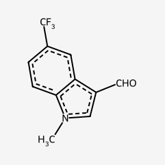 Cn1cc(C=O)c2cc(C(F)(F)F)ccc21